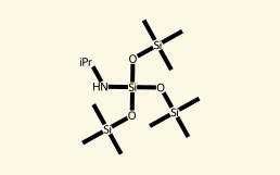 CC(C)N[Si](O[Si](C)(C)C)(O[Si](C)(C)C)O[Si](C)(C)C